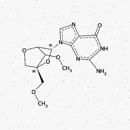 COC[C@@]12COC(C1OC)[C@H](n1cnc3c(=O)[nH]c(N)nc31)O2